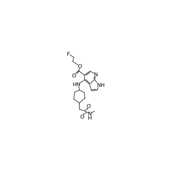 CNS(=O)(=O)CC1CCC(Nc2c(C(=O)OCCF)cnc3[nH]ccc23)CC1